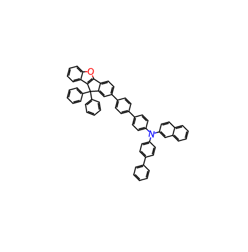 c1ccc(-c2ccc(N(c3ccc(-c4ccc(-c5ccc6c(c5)C(c5ccccc5)(c5ccccc5)c5c-6oc6ccccc56)cc4)cc3)c3ccc4ccccc4c3)cc2)cc1